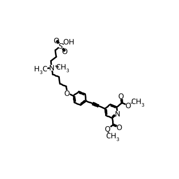 COC(=O)c1cc(C#Cc2ccc(OCCCC[N+](C)(C)CCCS(=O)(=O)O)cc2)cc(C(=O)OC)n1